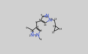 Cc1nn(C)cc1Cc1cnn(CC2CC2)c1